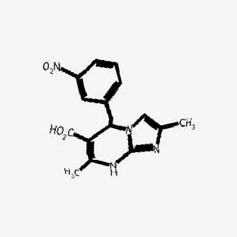 CC1=C(C(=O)O)C(c2cccc([N+](=O)[O-])c2)n2cc(C)nc2N1